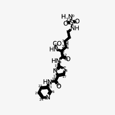 NS(=O)(=O)NCCCCC(NC(=O)O)C(=O)Nc1nc(C(=O)Nc2cccnc2)cs1